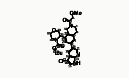 COCC(=O)N1CCc2cc(-c3cnc4[nH]cc(Cl)c4c3)cc([C@@H]3COCCN3C(=O)OC(C)(C)C)c2C1